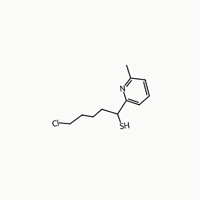 Cc1cccc(C(S)CCCCCl)n1